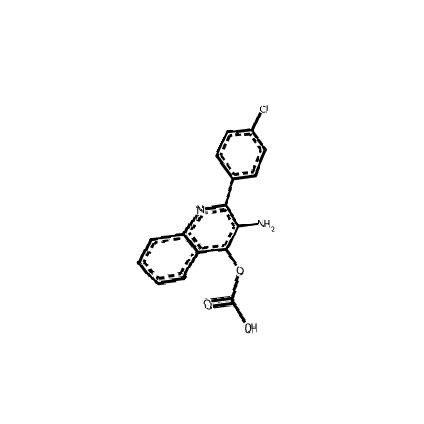 Nc1c(-c2ccc(Cl)cc2)nc2ccccc2c1OC(=O)O